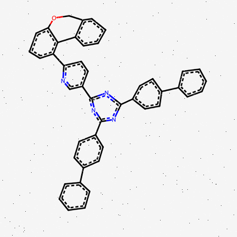 c1ccc(-c2ccc(-c3nc(-c4ccc(-c5ccccc5)cc4)nc(-c4ccc(-c5cccc6c5-c5ccccc5CO6)nc4)n3)cc2)cc1